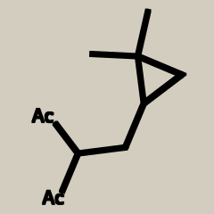 CC(=O)C(CC1CC1(C)C)C(C)=O